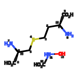 N[C@@H](CCSC[C@H](N)C(=O)O)C(=O)O.O=C(O)NO